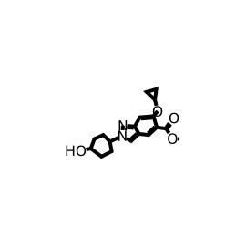 COC(=O)c1cc2cn(C3CCC(O)CC3)nc2cc1OC1CC1